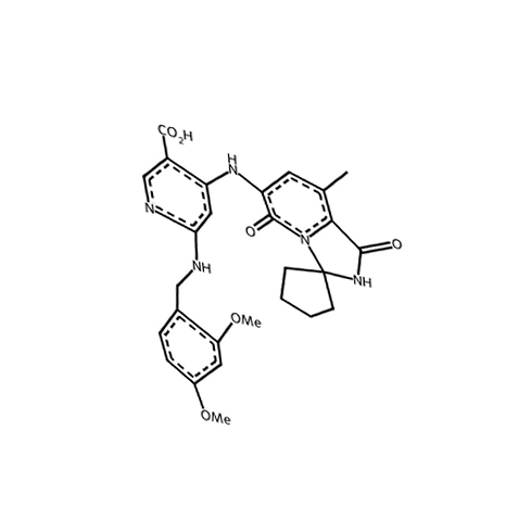 COc1ccc(CNc2cc(Nc3cc(C)c4n(c3=O)C3(CCCC3)NC4=O)c(C(=O)O)cn2)c(OC)c1